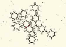 c1ccc(-c2ccc(N(c3ccc(-c4ccccc4)cc3-c3cccc4c3-c3ccccc3C43c4ccccc4-c4ccccc43)c3cccc4c3oc3ccccc34)cc2)cc1